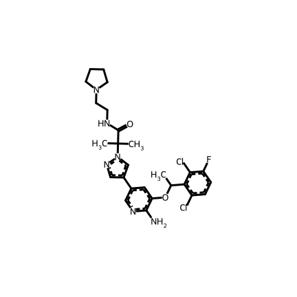 CC(Oc1cc(-c2cnn(C(C)(C)C(=O)NCCN3CCCC3)c2)cnc1N)c1c(Cl)ccc(F)c1Cl